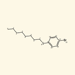 CCCCCCCCSc1ccc(Br)cc1